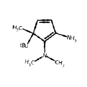 CN(C)C1=C(N)C=CC1(C)C(C)(C)C